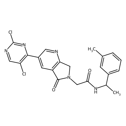 Cc1cccc(C(C)NC(=O)CN2Cc3ncc(-c4nc(Cl)ncc4Cl)cc3C2=O)c1